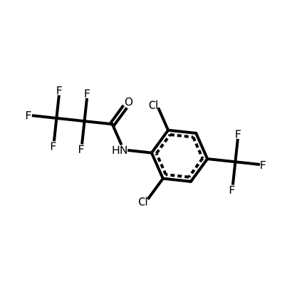 O=C(Nc1c(Cl)cc(C(F)(F)F)cc1Cl)C(F)(F)C(F)(F)F